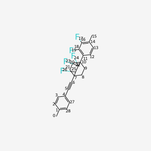 Cc1ccc(C#CC23CCC(c4ccc(C)c(F)c4F)(CC2)C(F)(F)C3F)cc1